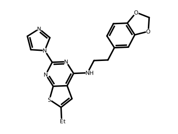 CCc1cc2c(NCCc3ccc4c(c3)OCO4)nc(-n3ccnc3)nc2s1